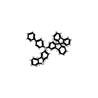 c1ccc(-c2ccc(N(c3ccc4c(c3)-c3ccccc3C43c4ccccc4-c4ccccc43)c3ccc4oc5ccccc5c4c3)cc2)cc1